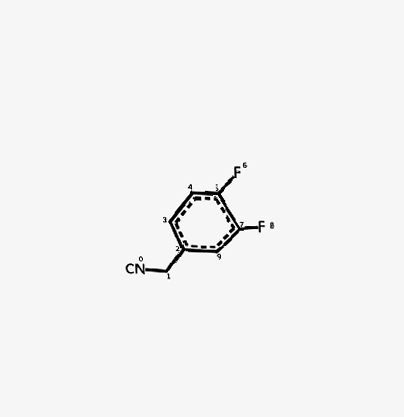 [C-]#[N+]Cc1ccc(F)c(F)c1